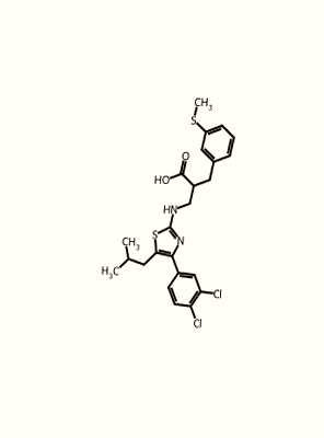 CSc1cccc(CC(CNc2nc(-c3ccc(Cl)c(Cl)c3)c(CC(C)C)s2)C(=O)O)c1